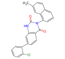 Cc1ccc2cccc(-n3c(=O)[nH]c4cc(-c5ccccc5Cl)ccc4c3=O)c2c1